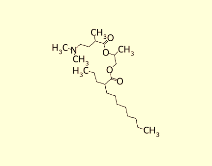 CCCCCCCCC(CCC)C(=O)OCC(C)OC(=O)C(C)CCN(C)C